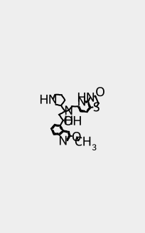 COc1cnc2cccc(C(O)CC(NCc3ccc4c(n3)NC(=O)CS4)C3CCCNC3)c2c1